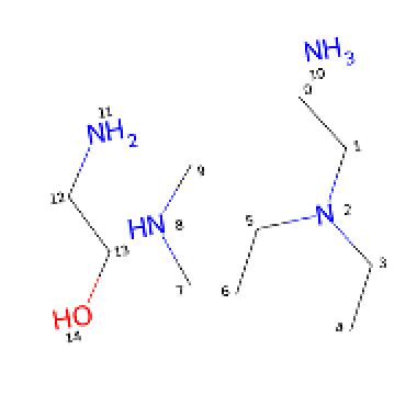 CCN(CC)CC.CNC.N.NCCO